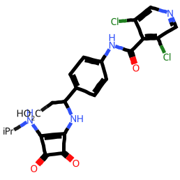 CC(C)Nc1c(NC(CC(=O)O)c2ccc(NC(=O)c3c(Cl)cncc3Cl)cc2)c(=O)c1=O